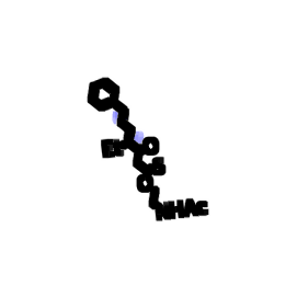 CC/C(=C\C=C\c1ccccc1)C(=O)CC(=S)OCCNC(C)=O